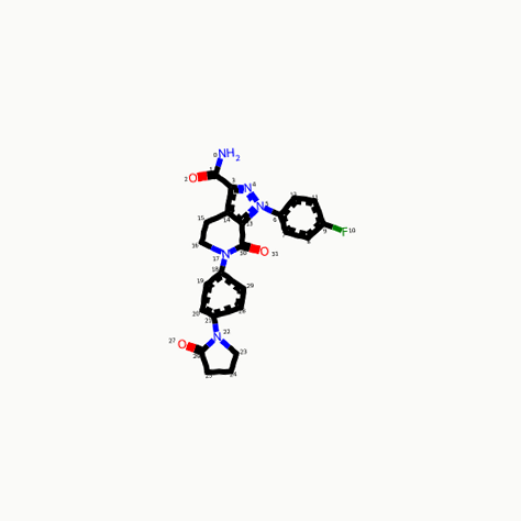 NC(=O)c1nn(-c2ccc(F)cc2)c2c1CCN(c1ccc(N3CCCC3=O)cc1)C2=O